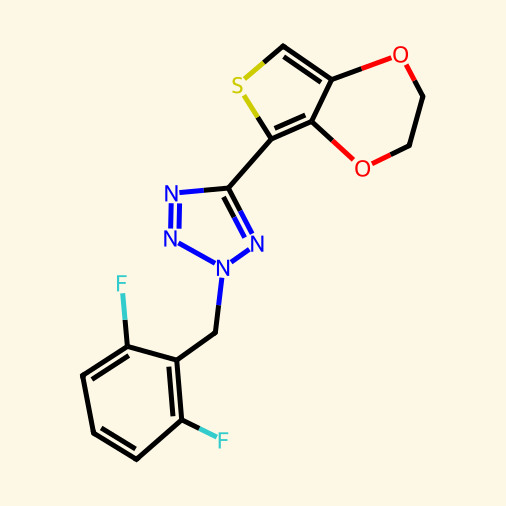 Fc1cccc(F)c1Cn1nnc(-c2scc3c2OCCO3)n1